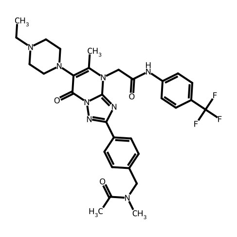 CCN1CCN(c2c(C)n(CC(=O)Nc3ccc(C(F)(F)F)cc3)c3nc(-c4ccc(CN(C)C(C)=O)cc4)nn3c2=O)CC1